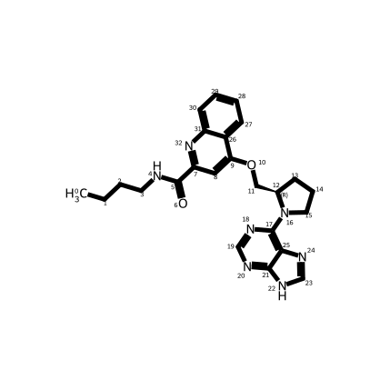 CCCCNC(=O)c1cc(OC[C@H]2CCCN2c2ncnc3[nH]cnc23)c2ccccc2n1